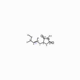 CCC(C)/C=C(\C)CC1CC(=O)N(C)C1=O